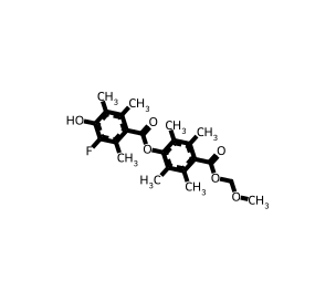 COCOC(=O)c1c(C)c(C)c(OC(=O)c2c(C)c(C)c(O)c(F)c2C)c(C)c1C